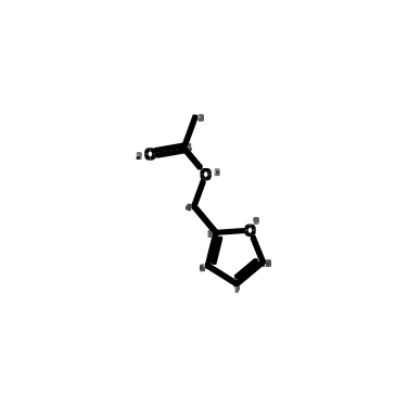 CC(=O)OCc1cc[c]o1